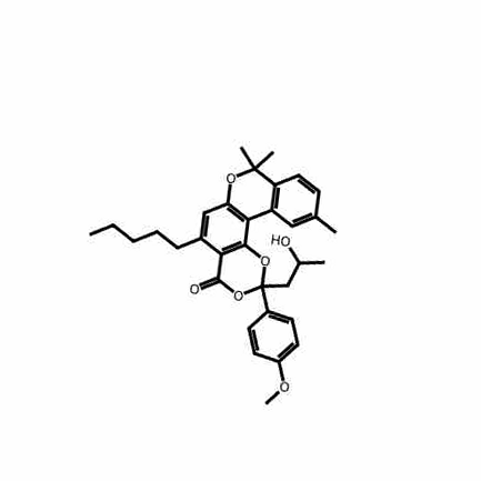 CCCCCc1cc2c(c3c1C(=O)OC(CC(C)O)(c1ccc(OC)cc1)O3)-c1cc(C)ccc1C(C)(C)O2